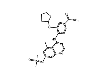 Cc1cc(N=S(C)(C)=O)cc2ncnc(Nc3ccc(C(N)=O)cc3OC3CCCC3)c12